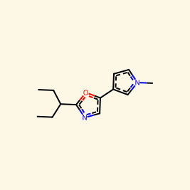 CCC(CC)c1ncc(-c2ccn(C)c2)o1